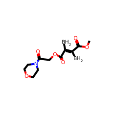 B/C(C(=O)OC)=C(/B)C(=O)OCC(=O)N1CCOCC1